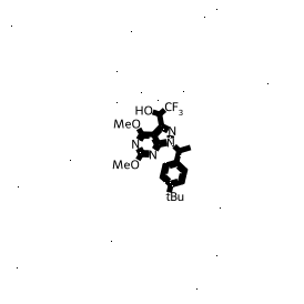 COc1nc(OC)c2c(C(O)C(F)(F)F)nn(C(C)c3ccc(C(C)(C)C)cc3)c2n1